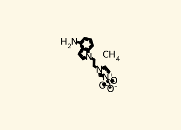 C.Nc1cccc2c1ccn2CCn1cc[n+](S(=O)(=O)[O-])c1